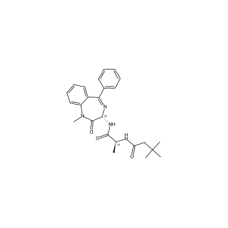 C[C@H](NC(=O)CC(C)(C)C)C(=O)N[C@H]1N=C(c2ccccc2)c2ccccc2N(C)C1=O